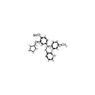 COc1ccc(N(Cc2cccnc2)c2ccc(C)cc2)cc1OC1CCCC1